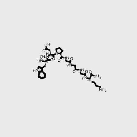 CN[C@@H](Cc1c[nH]c2ccccc12)C(=O)N[C@@H](CC(=O)O)C(=O)N1CCC[C@H]1C(=O)NCC(=O)NCC(=O)NCC(=O)N[C@@H](CCCCN)C(N)=O